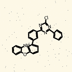 Clc1nc(-c2ccccc2)nc(-c2cccc(-c3cccc4c3Nc3ccccc3O4)c2)n1